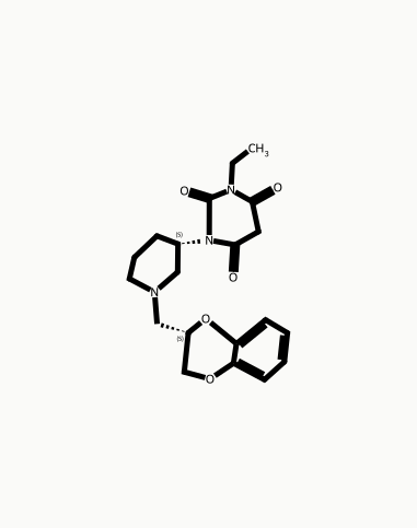 CCN1C(=O)CC(=O)N([C@H]2CCCN(C[C@H]3COc4ccccc4O3)C2)C1=O